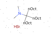 Br.CCCCCCCCC(CCCCCCCC)(CCCCCCCC)N(C)C